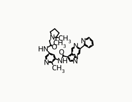 Cc1ncc(NC(=O)CN2CCCC2(C)C)cc1NC(=O)c1cnn2cc(-c3ccccn3)ncc12